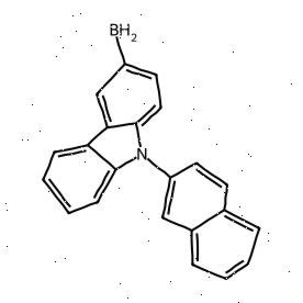 Bc1ccc2c(c1)c1ccccc1n2-c1ccc2ccccc2c1